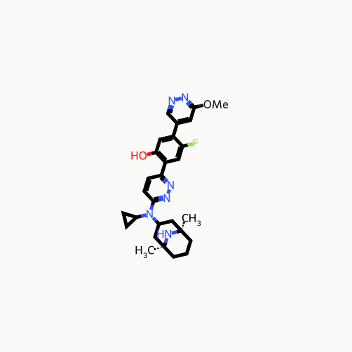 COc1cc(-c2cc(O)c(-c3ccc(N(C4CC4)C4C[C@]5(C)CCC[C@](C)(C4)N5)nn3)cc2F)cnn1